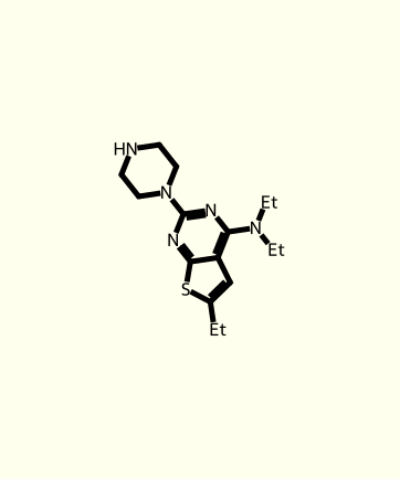 CCc1cc2c(N(CC)CC)nc(N3CCNCC3)nc2s1